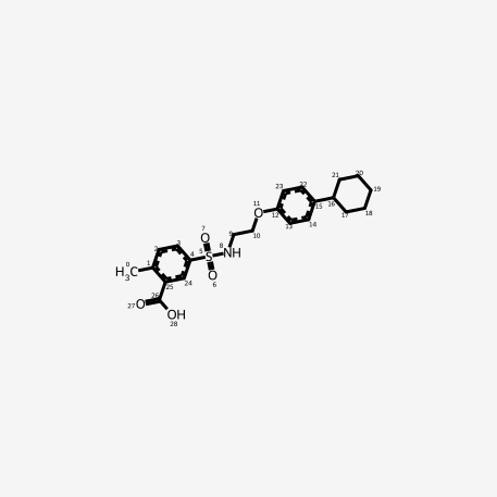 Cc1ccc(S(=O)(=O)NCCOc2ccc(C3CCCCC3)cc2)cc1C(=O)O